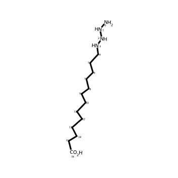 NNNNCCCCCCCCCCCCC(=O)O